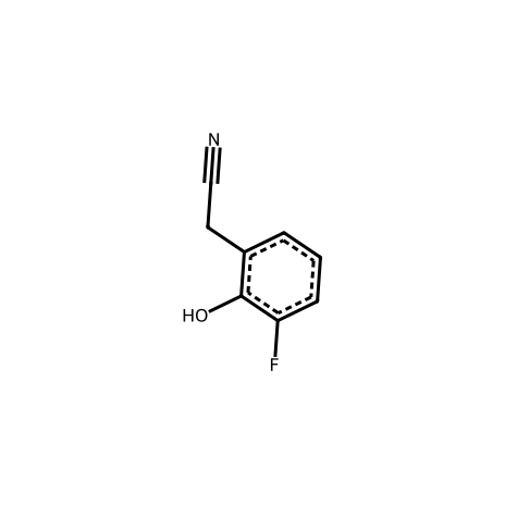 N#CCc1cccc(F)c1O